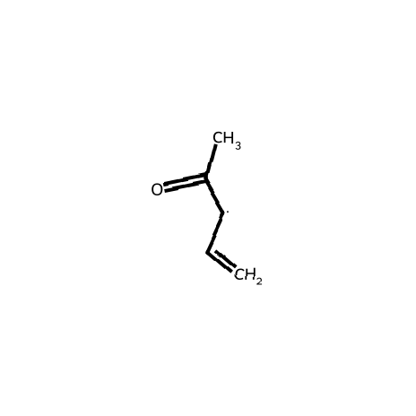 C=C[CH]C(C)=O